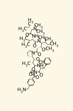 CC[C@H](C)C([C@@H](CC(=O)N1CCC[C@H]1[C@H](OC)[C@@H](C)C(=O)N[C@@H](Cc1ccccc1)C(=O)NS(=O)(=O)c1ccc(CN)cc1)OC)N(C)C(=O)[C@@H](NC(=O)[C@H](C(C)C)N(C)C)C(C)C